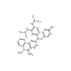 CC(c1ccccc1)N(C)c1ccc(C(Cc2cc[n+]([O-])cc2)c2ccc(OC(F)F)c(OC(F)F)c2)cn1